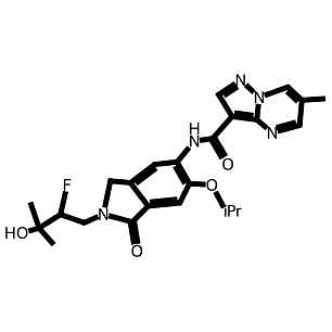 Cc1cnc2c(C(=O)Nc3cc4c(cc3OC(C)C)C(=O)N(CC(F)C(C)(C)O)C4)cnn2c1